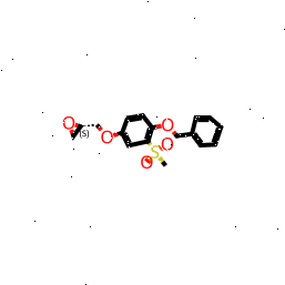 CS(=O)(=O)c1cc(OC[C@@H]2CO2)ccc1OCc1ccccc1